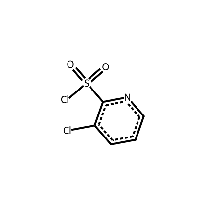 O=S(=O)(Cl)c1ncccc1Cl